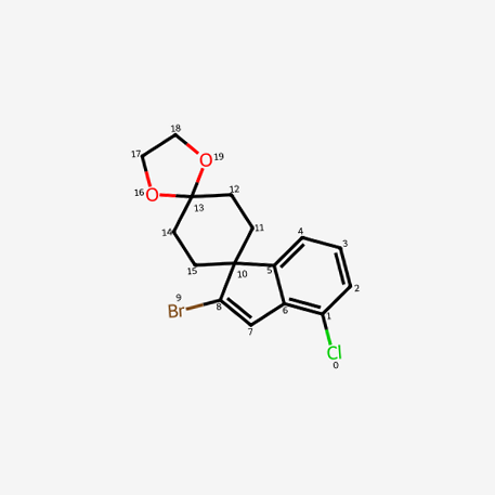 Clc1cccc2c1C=C(Br)C21CCC2(CC1)OCCO2